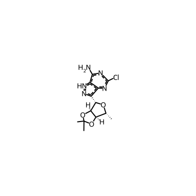 C[C@H]1O[C@@H](c2n[nH]c3c(N)nc(Cl)nc23)[C@@H]2OC(C)(C)O[C@@H]21